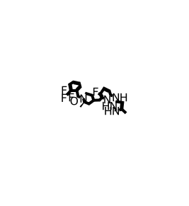 CC1=CC(Nc2ccc(F)c(CC3CCN(C(=O)c4ccccc4C(F)(F)F)[C@H](C)C3)n2)NN1